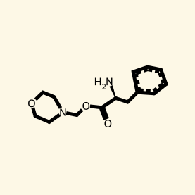 N[C@@H](Cc1ccccc1)C(=O)OCN1CCOCC1